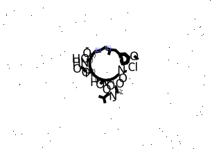 COc1cc2cc(c1Cl)N(C)C(=O)C[C@H](OC(=O)[C@H](C)N(C)C(=O)C(C)C)[C@]1(C)O[C@H]1C[C@@H]1C[C@@](O)(NC(=O)O1)[C@H](OC)/C=C/C=C(\C)C2